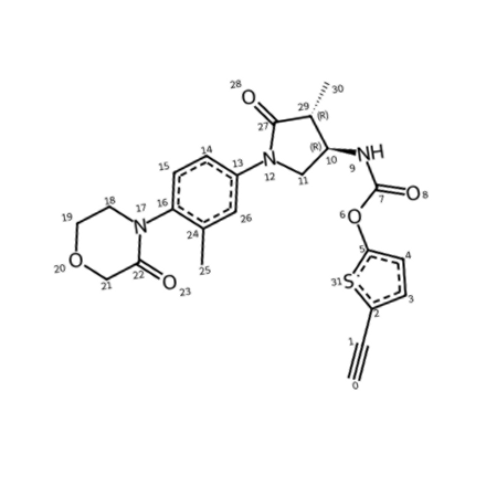 C#Cc1ccc(OC(=O)N[C@H]2CN(c3ccc(N4CCOCC4=O)c(C)c3)C(=O)[C@@H]2C)s1